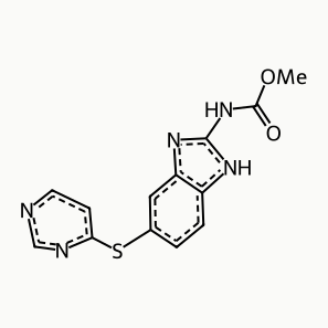 COC(=O)Nc1nc2cc(Sc3ccncn3)ccc2[nH]1